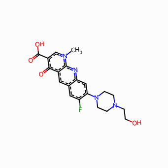 Cn1cc(C(=O)O)c(=O)c2cc3cc(F)c(N4CCN(CCO)CC4)cc3nc21